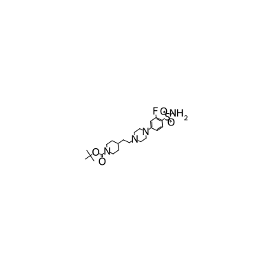 CC(C)(C)OC(=O)N1CCC(CCN2CCN(c3ccc(S(N)(=O)=O)c(F)c3)CC2)CC1